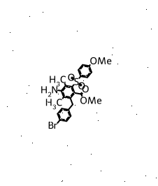 COC(=O)c1c(Cc2ccc(Br)cc2)c(C)c(N)c(C)c1S(=O)(=O)c1ccc(OC)cc1